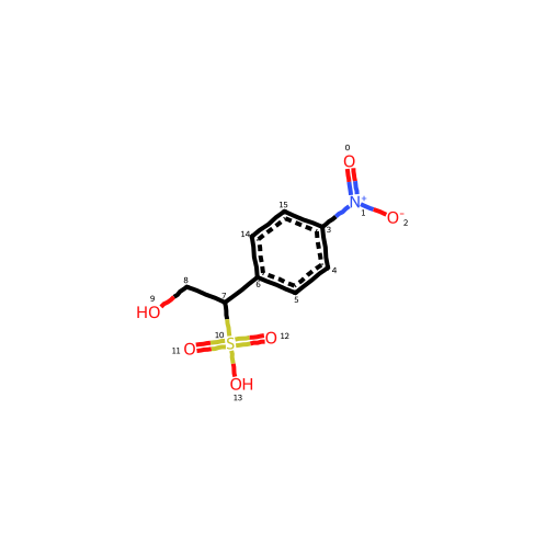 O=[N+]([O-])c1ccc(C(CO)S(=O)(=O)O)cc1